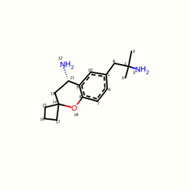 CC(C)(N)Cc1ccc2c(c1)[C@@H](N)CC1(CCC1)O2